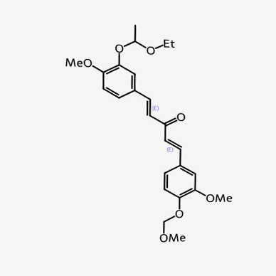 CCOC(C)Oc1cc(/C=C/C(=O)/C=C/c2ccc(OCOC)c(OC)c2)ccc1OC